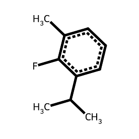 Cc1cccc(C(C)C)c1F